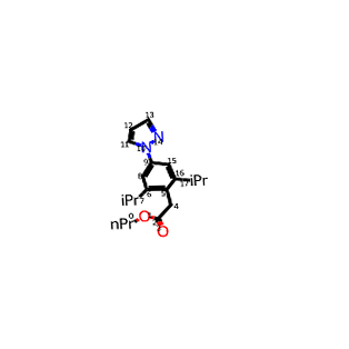 CCCOC(=O)Cc1c(C(C)C)cc(-n2cccn2)cc1C(C)C